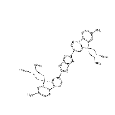 CCCCCCCCCCCCC1(CCCCCCCCCCCC)c2cc(C)ccc2-c2ccc(-c3nc4sc(-c5ccc6c(c5)C(CCCCCCCCCCCC)(CCCCCCCCCCCC)c5cc(C)ccc5-6)nc4s3)cc21